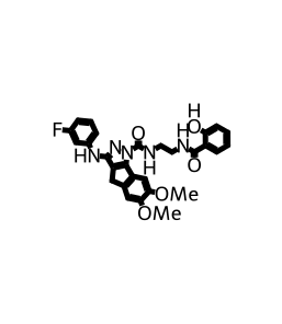 COc1cc2c(cc1OC)-c1c(c(Nc3cccc(F)c3)nn1C(=O)NCCNC(=O)c1ccccc1O)C2